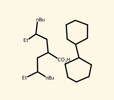 C1CCC(C2CCCCC2)CC1.CCCCC(CC)CC(CC(CC)CCCC)C(=O)O